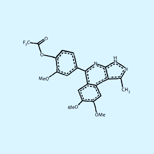 COc1cc2c(-c3ccc(OC(=O)C(F)(F)F)c(OC)c3)nc3[nH]nc(C)c3c2cc1OC